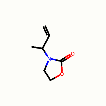 C=CC(C)N1CCOC1=O